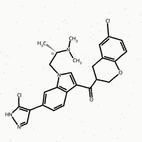 C[C@@H](Cn1cc(C(=O)C2COc3ccc(Cl)cc3C2)c2ccc(-c3cn[nH]c3Cl)cc21)N(C)C